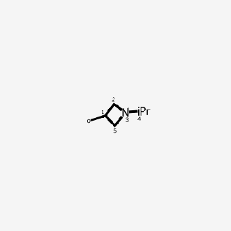 C[C]1CN(C(C)C)C1